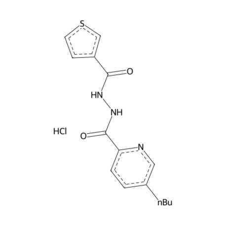 CCCCc1ccc(C(=O)NNC(=O)c2ccsc2)nc1.Cl